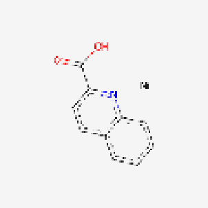 O=C(O)c1ccc2ccccc2n1.[Ni]